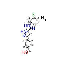 Cc1cc2nc(-c3cc(-c4ccc(CO)cc4)n[nH]3)[nH]c2cc1F